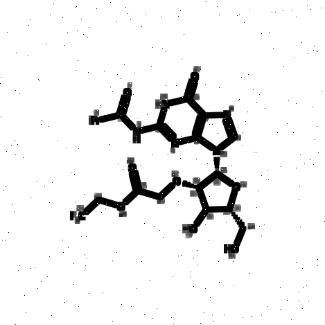 CC(C)C(=O)Nc1nc2c(ncn2[C@@H]2O[C@H](CO)C(O)[C@@H]2OCC(=O)OCC(F)(F)F)c(=O)[nH]1